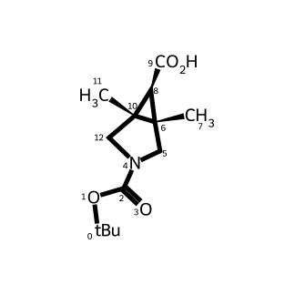 CC(C)(C)OC(=O)N1C[C@@]2(C)[C@H](C(=O)O)[C@@]2(C)C1